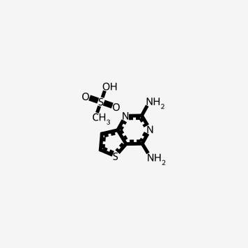 CS(=O)(=O)O.Nc1nc(N)c2sccc2n1